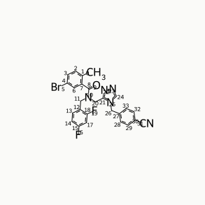 Cc1ccc(Br)cc1C(=O)N(Cc1ccc(F)cc1F)Cc1nncn1Cc1ccc(C#N)cc1